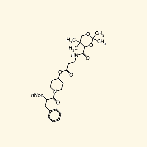 CCCCCCCCCC(Cc1ccccc1)C(=O)N1CCC(OC(=O)CCNC(=O)C2OC(C)(C)OCC2(C)C)CC1